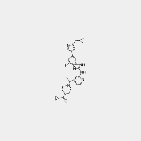 CC(c1ccnc(Nc2nc3c(F)cc(-c4cnn(CC5CC5)c4)cc3[nH]2)c1)N1CCN(C(=O)C2CC2)CC1